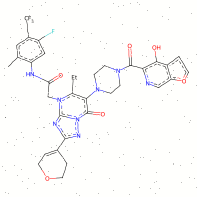 CCc1c(N2CCN(C(=O)c3ncc4occc4c3O)CC2)c(=O)n2nc(C3=CCOCC3)nc2n1CC(=O)Nc1cc(F)c(C(F)(F)F)cc1C